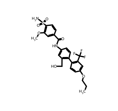 CCCOc1ccc(-c2ccc(NC(=O)c3ccc(S(N)(=O)=O)c(OC)c3)cc2CO)c(C(F)(F)F)c1